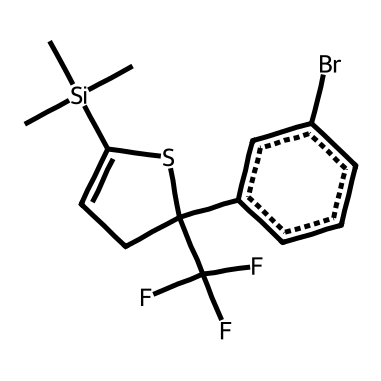 C[Si](C)(C)C1=CCC(c2cccc(Br)c2)(C(F)(F)F)S1